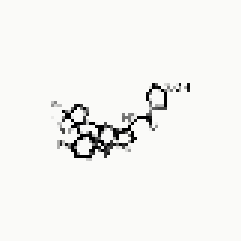 [2H]C1([2H])CCN(c2ccn3ncc(NC(=O)N4CC[C@H](O)C4)c3n2)C1([2H])c1cc(F)ccc1F